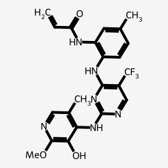 C=CC(=O)Nc1cc(C)ccc1Nc1nc(Nc2c(C)cnc(OC)c2O)ncc1C(F)(F)F